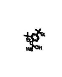 CCC(C)(C)c1ccc(OP(O)O)c(C(C)(C)CC)c1